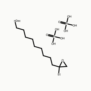 CCCCCCCCCCCCCCCCCCCC1(CC)CO1.O=P(O)(O)O.O=P(O)(O)O